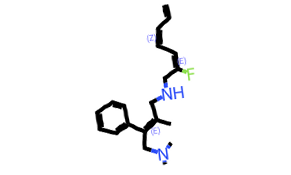 C=C/C=C\C=C(\F)CNC/C(C)=C(/CN(C)C)c1ccccc1